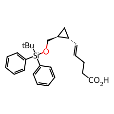 CC(C)(C)[Si](OC[C@H]1C[C@@H]1C=CCCC(=O)O)(c1ccccc1)c1ccccc1